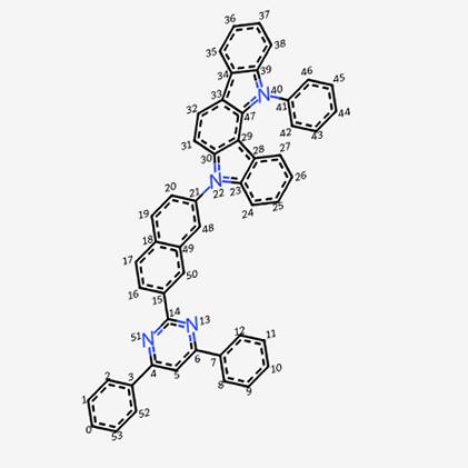 c1ccc(-c2cc(-c3ccccc3)nc(-c3ccc4ccc(-n5c6ccccc6c6c5ccc5c7ccccc7n(-c7ccccc7)c56)cc4c3)n2)cc1